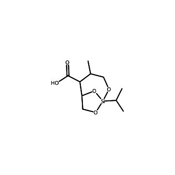 CC1CO[Si]2(C(C)C)OCC(O2)C1C(=O)O